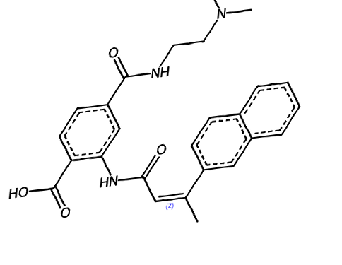 C/C(=C/C(=O)Nc1cc(C(=O)NCCN(C)C)ccc1C(=O)O)c1ccc2ccccc2c1